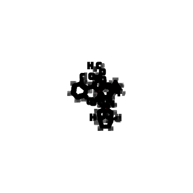 COC(=O)c1cc(F)c2nc(N3[C@@H]4CC[C@H]3C[C@@H](OC(=O)c3c(-c5c(Cl)cccc5Cl)noc3C3(F)CC3)C4)sc2c1